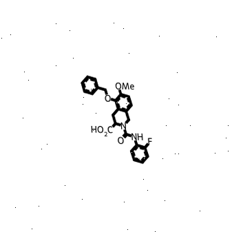 COc1ccc2c(c1OCc1ccccc1)CC(C(=O)O)N(C(=O)Nc1ccccc1F)C2